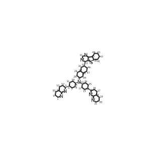 c1cnc2nc(-c3ccc(N(c4ccc(-c5ccc6cccnc6n5)cc4)c4ccc5cc(-c6ncnc7c6sc6ccccc67)ccc5c4)cc3)ccc2c1